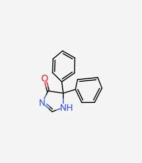 O=C1N=CNC1(c1ccccc1)c1ccccc1